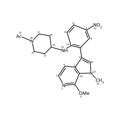 COc1nccc2c(-c3cc([N+](=O)[O-])ccc3NC3CCN(C(C)=O)CC3)cn(C)c12